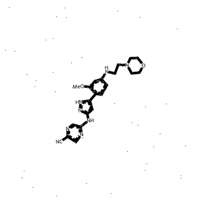 COc1cc(NCCN2CCOCC2)ccc1-c1cc(Nc2cnc(C#N)cn2)n[nH]1